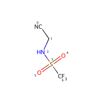 N#CCNS(=O)(=O)C(F)(F)F